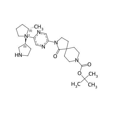 C[C@H]1CCC[N+]1(c1cnc(N2CCC3(CCN(C(=O)OC(C)(C)C)CC3)C2=O)cn1)[C@H]1CCNC1